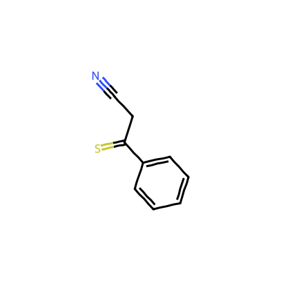 N#CCC(=S)c1ccccc1